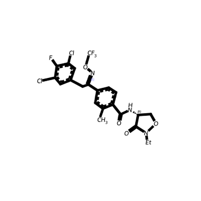 CCN1OC[C@@H](NC(=O)c2ccc(/C(Cc3cc(Cl)c(F)c(Cl)c3)=N/OC(F)(F)F)cc2C)C1=O